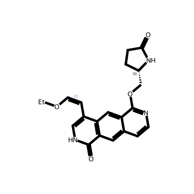 CCO/C=C\c1c[nH]c(=O)c2cc3ccnc(OC[C@@H]4CCC(=O)N4)c3cc12